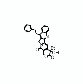 CC[C@@]1(O)C(=O)OCc2c1cc1n(c2=O)Cc2c-1nc1ccccc1c2CCc1ccccc1